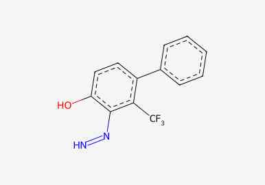 N=Nc1c(O)ccc(-c2ccccc2)c1C(F)(F)F